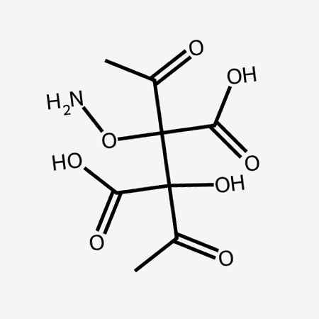 CC(=O)C(O)(C(=O)O)C(ON)(C(C)=O)C(=O)O